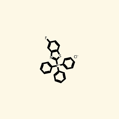 Fc1ccc2sc([P+](c3ccccc3)(c3ccccc3)c3ccccc3)nc2c1.[Cl-]